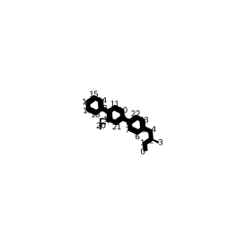 CC[C@H](C)Cc1ccc(-c2ccc(-c3ccccc3)c(F)c2)cc1